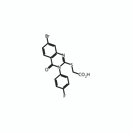 O=C(O)CSc1nc2cc(Br)ccc2c(=O)n1-c1ccc(F)cc1